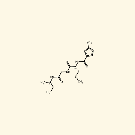 CC[C@@H](C)NC(=O)CNC(=O)[C@@H](CSC)NC(=O)c1cnc(C)s1